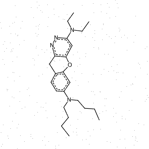 CCCCN(CCCC)c1ccc2c(c1)Oc1cc(N(CC)CC)nnc1C2